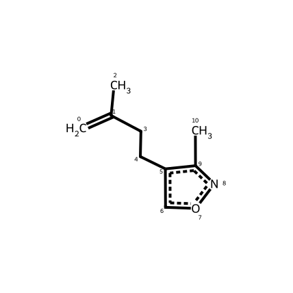 C=C(C)CCc1conc1C